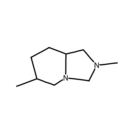 CC1CCC2CN(C)CN2C1